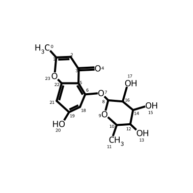 Cc1cc(=O)c2c(OC3OC(C)C(O)C(O)C3O)cc(O)cc2o1